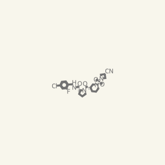 N#CC1CN(S(=O)(=O)N2CCC[C@H](C(=O)N3CCC[C@@H]3C(=O)NCc3ccc(Cl)cc3F)C2)C1